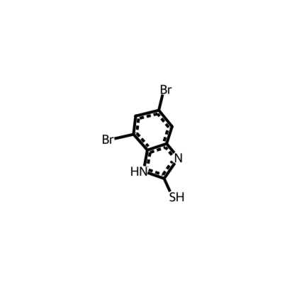 Sc1nc2cc(Br)cc(Br)c2[nH]1